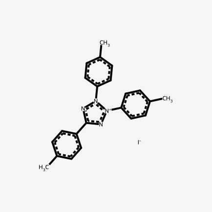 Cc1ccc(-c2nn(-c3ccc(C)cc3)[n+](-c3ccc(C)cc3)n2)cc1.[I-]